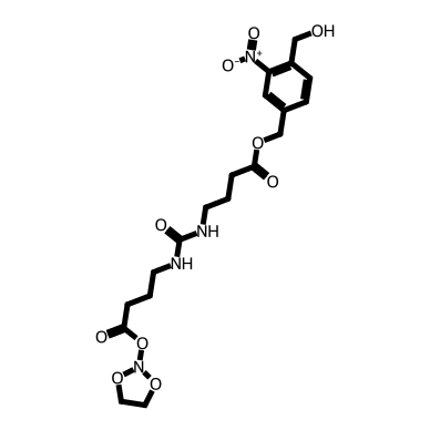 O=C(NCCCC(=O)OCc1ccc(CO)c([N+](=O)[O-])c1)NCCCC(=O)ON1OCCO1